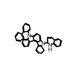 C1=Cc2c(n(C3C=Cc4ccccc4N3)c3ccc4c(c5ccccc5n4-c4ccccc4-c4ccccc4)c23)CC1